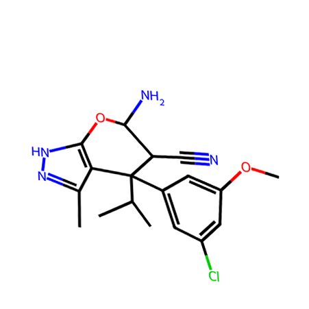 COc1cc(Cl)cc(C2(C(C)C)c3c(C)n[nH]c3OC(N)C2C#N)c1